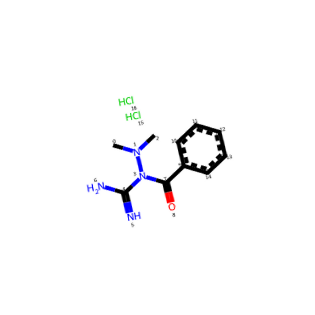 CN(C)N(C(=N)N)C(=O)c1ccccc1.Cl.Cl